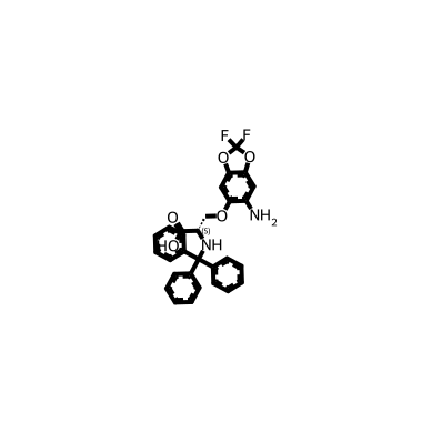 Nc1cc2c(cc1OC[C@H](NC(c1ccccc1)(c1ccccc1)c1ccccc1)C(=O)O)OC(F)(F)O2